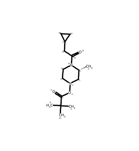 C[C@@H]1CN(OC(=O)C(C)(C)C)CCN1C(=O)CC1CC1